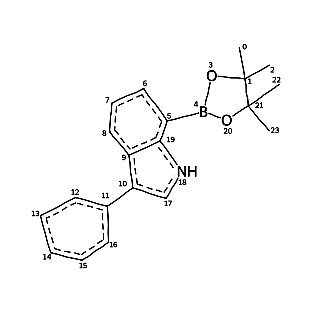 CC1(C)OB(c2cccc3c(-c4ccccc4)c[nH]c23)OC1(C)C